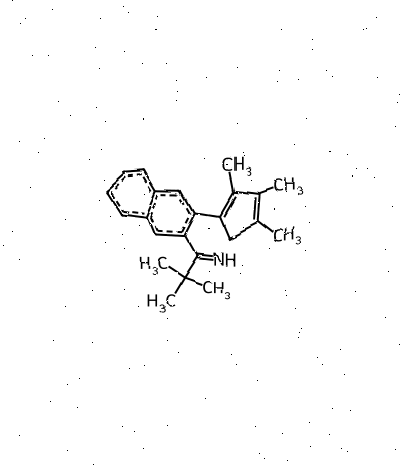 CC1=C(C)C(C)=C(c2cc3ccccc3cc2C(=N)C(C)(C)C)C1